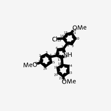 COc1ccc(-c2cc(-c3ccc(OC)cc3Cl)[nH]c2-c2ccc(OC)cc2)cc1